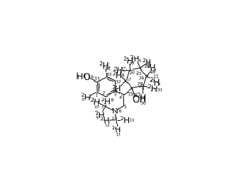 [2H]c1cc(C(CN(C([2H])([2H])[2H])C([2H])([2H])[2H])C2(O)C([2H])([2H])C([2H])([2H])C([2H])([2H])C([2H])([2H])C2([2H])[2H])cc([2H])c1O